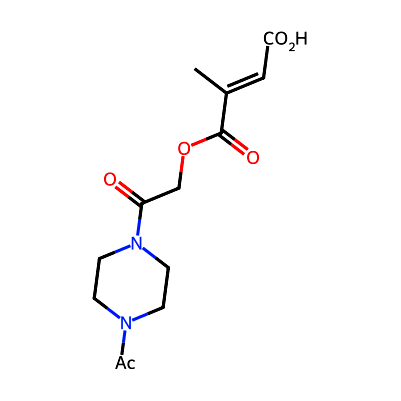 CC(=O)N1CCN(C(=O)COC(=O)/C(C)=C/C(=O)O)CC1